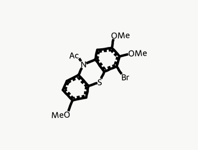 COc1ccc2c(c1)Sc1c(cc(OC)c(OC)c1Br)N2C(C)=O